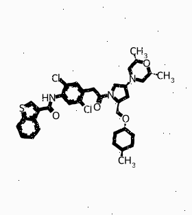 C[C@@H]1CN([C@H]2C[C@@H](CO[C@H]3CC[C@H](C)CC3)N(C(=O)Cc3cc(Cl)c(NC(=O)c4csc5ccccc45)cc3Cl)C2)C[C@H](C)O1